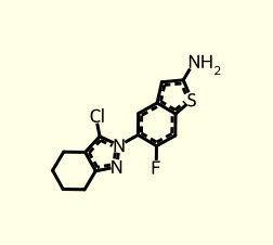 Nc1cc2cc(-n3nc4c(c3Cl)CCCC4)c(F)cc2s1